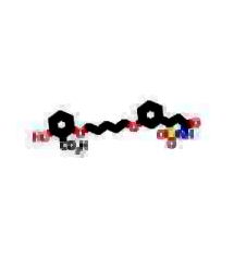 O=C1CC(c2cccc(OCCCCCOc3cccc(O)c3C(=O)O)c2)S(=O)(=O)N1